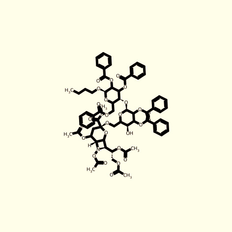 CCCCO[C@@H]1OC(COC(=O)c2ccccc2)[C@@H](O[C@@H]2OC(CO[C@]3(C(=O)OC)CC(OC(C)=O)[C@@H]4C(O3)[C@@H]([C@@H](COC(C)=O)OC(C)=O)N4OC(C)=O)[C@H](O)C(OC(=O)c3ccccc3)C2OC(=O)c2ccccc2)C(OC(=O)c2ccccc2)C1OC(=O)c1ccccc1